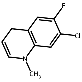 CN1C=CCc2cc(F)c(Cl)cc21